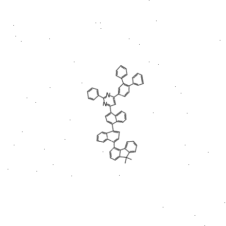 CC1(C)c2ccccc2-c2c(-c3ccc(-c4ccc(-c5cc(-c6ccc(-c7ccccc7)c(-c7ccccc7)c6)nc(-c6ccccc6)n5)c5ccccc45)c4ccccc34)cccc21